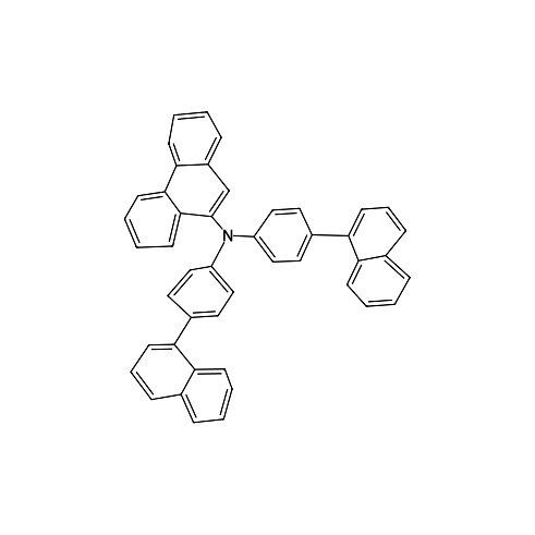 c1ccc2c(-c3ccc(N(c4ccc(-c5cccc6ccccc56)cc4)c4cc5ccccc5c5ccccc45)cc3)cccc2c1